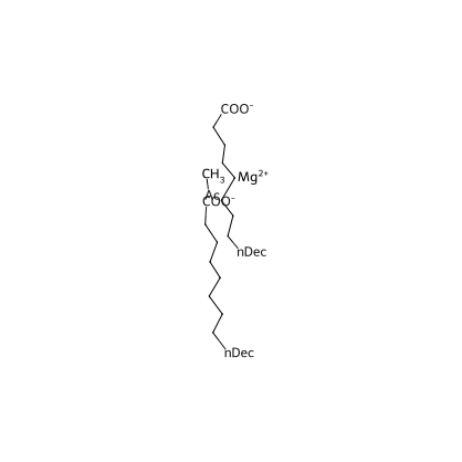 CC(C)=O.CCCCCCCCCCCCCCCCCC(=O)[O-].CCCCCCCCCCCCCCCCCC(=O)[O-].[Mg+2]